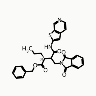 CCC[C@H](C(=O)OCc1ccccc1)C(CN1C(=O)c2ccccc2C1=O)C(=O)Nc1cc2ccncc2s1